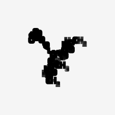 C=C1C[C@H]2C=Nc3cc(OCc4cc(CCCOCCOCC(=O)ON5C(=O)CCC5=O)cc(COc5cc6c(cc5OC)C(=O)N5CC(=C)C[C@H]5C=N6)c4)c(OC)cc3C(=O)N2C1